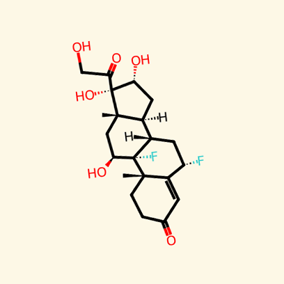 C[C@]12CCC(=O)C=C1[C@@H](F)C[C@H]1[C@@H]3C[C@@H](O)[C@](O)(C(=O)CO)[C@@]3(C)C[C@H](O)[C@@]12F